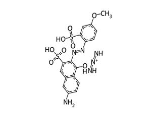 COc1ccc(N=Nc2c(S(=O)(=O)O)cc3cc(N)ccc3c2O)c(S(=O)(=O)O)c1.N=[N+]=N